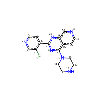 Fc1cnccc1-c1nc(N2CCNCC2)c2ccncc2n1